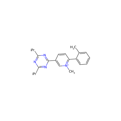 Cc1ccccc1-c1ccc(-c2nc(C(C)C)nc(C(C)C)n2)c[n+]1C